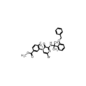 COC(=O)c1ccc(C)c(-n2cc(Br)nc(NC(C)(C)c3ccccc3OCc3ccccc3)c2=O)c1